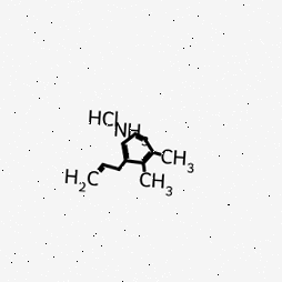 C=CCc1cccc(C)c1C.Cl.N